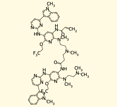 C=CC(=O)Nc1cc(Nc2nccc(-c3cn(C)c4ccccc34)n2)c(OCC(F)(F)F)nc1N(C)CCN(C)CCC(=O)Nc1cc(Nc2nccc(-c3cn(C)c4ccccc34)n2)c(OCC(F)(F)F)nc1N(C)CCN(C)C